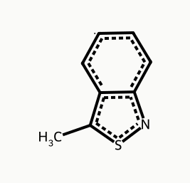 Cc1snc2cc[c]cc12